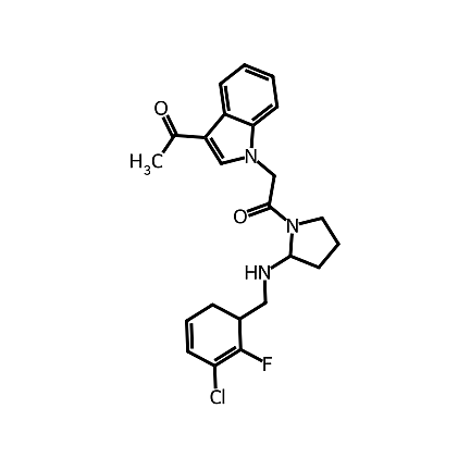 CC(=O)c1cn(CC(=O)N2CCCC2NCC2CC=CC(Cl)=C2F)c2ccccc12